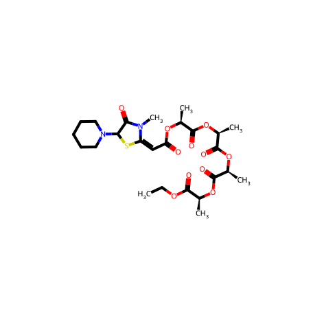 CCOC(=O)[C@H](C)OC(=O)[C@H](C)OC(=O)[C@H](C)OC(=O)[C@H](C)OC(=O)/C=C1/SC(N2CCCCC2)C(=O)N1C